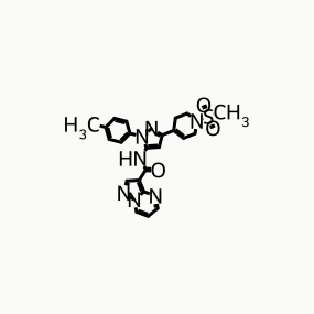 Cc1ccc(-n2nc(C3=CCN(S(C)(=O)=O)CC3)cc2NC(=O)c2cnn3cccnc23)cc1